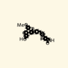 COc1cccc([C@H]2COc3cc(O)ccc3[C@H]2c2ccc(N3CCC(CN4CCN(c5cc6c(cc5F)C(=O)NC6)CC4)CC3)c(F)c2)c1